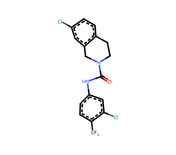 O=C(Nc1ccc(C(F)(F)F)c(Cl)c1)N1CCc2ccc(Cl)cc2C1